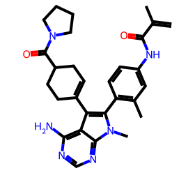 C=C(C)C(=O)Nc1ccc(-c2c(C3=CCC(C(=O)N4CCCC4)CC3)c3c(N)ncnc3n2C)c(C)c1